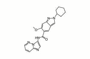 COc1cc2nn(C3CCCCC3)cc2cc1C(=O)Nc1cnc2cccnn12